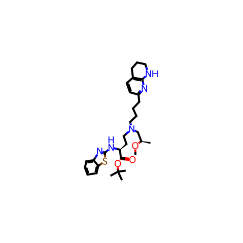 CO[C@H](C)CN(CCCCc1ccc2c(n1)NCCC2)CC[C@H](Nc1nc2ccccc2s1)C(=O)OC(C)(C)C